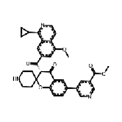 COC(=O)c1cncc(-c2ccc3c(c2)C(=O)[C@@H](C(=O)c2cc(OC)c4ccnc(C5CC5)c4c2)C2(CCNCC2)O3)c1